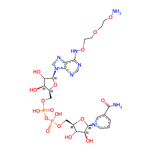 NOCCOCCONc1ncnc2c1ncn2[C@H]1O[C@@H](COP(=O)(O)OP(=O)(O)OC[C@H]2O[C@@H]([n+]3cccc(C(N)=O)c3)[C@@H](O)C2O)[C@@H](O)C1O